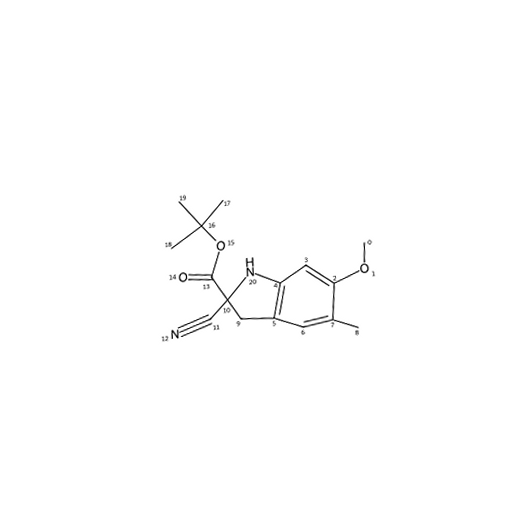 COc1cc2c(cc1C)CC(C#N)(C(=O)OC(C)(C)C)N2